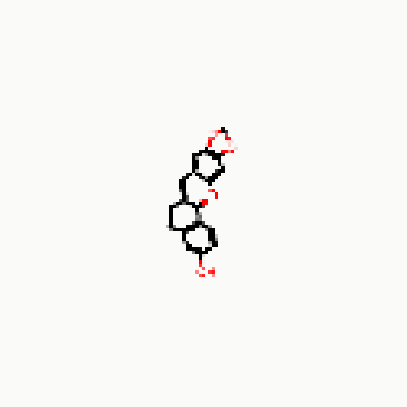 O=C1C(=Cc2ccc3c(c2)OCO3)CCc2cc(O)ccc21